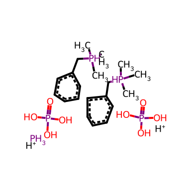 C[PH](C)(C)Cc1ccccc1.C[PH](C)(C)Cc1ccccc1.O=P(O)(O)O.O=P(O)(O)O.P.[H+].[H+]